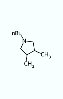 CCCCN1CC(C)C(C)C1